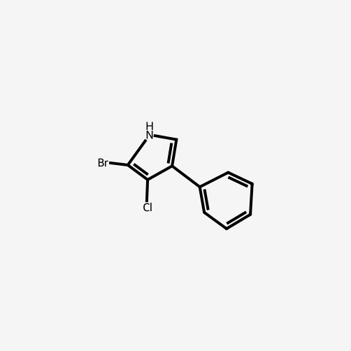 Clc1c(-c2ccccc2)c[nH]c1Br